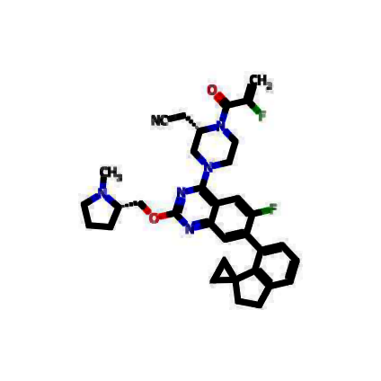 C=C(F)C(=O)N1CCN(c2nc(OC[C@@H]3CCCN3C)nc3cc(-c4cccc5c4C4(CC5)CC4)c(F)cc23)C[C@@H]1CC#N